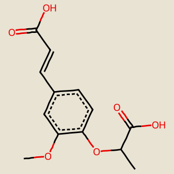 COc1cc(C=CC(=O)O)ccc1OC(C)C(=O)O